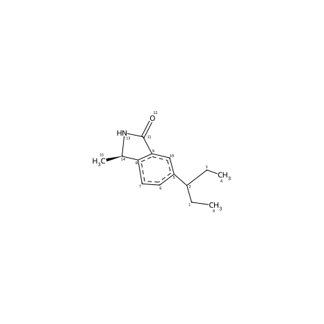 CCC(CC)c1ccc2c(c1)C(=O)N[C@@H]2C